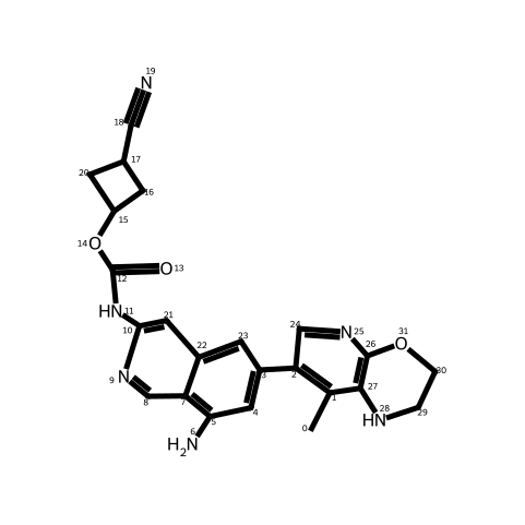 Cc1c(-c2cc(N)c3cnc(NC(=O)OC4CC(C#N)C4)cc3c2)cnc2c1NCCO2